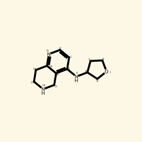 c1cc(NC2CCOC2)c2c(n1)CCNC2